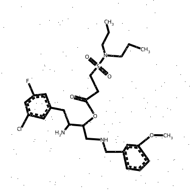 CCCN(CCC)S(=O)(=O)CCC(=O)OC(CNCc1cccc(OC)c1)C(N)Cc1cc(F)cc(Cl)c1